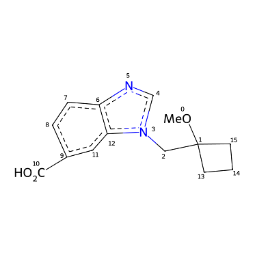 COC1(Cn2cnc3ccc(C(=O)O)cc32)CCC1